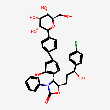 O=C1O[C@H](CC[C@H](O)c2ccc(F)cc2)[C@@H](c2ccc(-c3ccc(C4O[C@H](CO)[C@@H](O)[C@H](O)[C@H]4O)cc3)cc2O)N1c1ccccc1